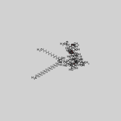 CCCCCCCCCCCCC/C=C/[C@@H](O)[C@H](CO[C@@H]1OC(CO)[C@@H](O[C@@H]2OC(CO)[C@H](O)[C@H](O[C@]3(C(=O)O)CC(O)[C@@H](NC(C)=O)C([C@H](O)[C@@H](CO)O[C@]4(C(=O)O)CC(O)[C@@H](NC(C)=O)C([C@H](O)[C@@H](CO)O[C@]5(C(=O)O)CC(O)[C@@H](NC(C)=O)C([C@H](O)[C@H](O)COC(C)=O)O5)O4)O3)C2O)[C@H](O)C1O)NC(=O)CCCCCCCCCCCCCCCCCCC